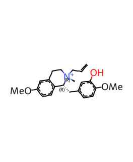 C=CC[N@@+]1(C)CCc2cc(OC)ccc2[C@H]1Cc1ccc(OC)c(O)c1